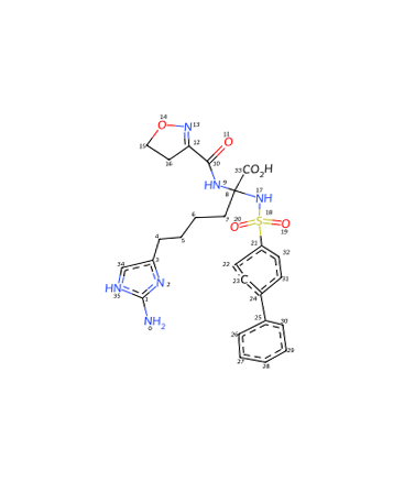 Nc1nc(CCCCC(NC(=O)C2=NOCC2)(NS(=O)(=O)c2ccc(-c3ccccc3)cc2)C(=O)O)c[nH]1